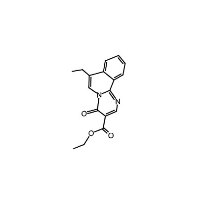 CCOC(=O)c1cnc2c3ccccc3c(CC)cn2c1=O